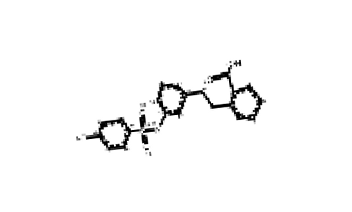 O=C(O)c1ccccc1CCc1cccc(NS(=O)(=O)c2ccc(F)cc2)c1